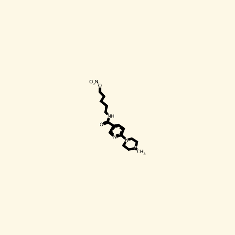 CN1CCN(c2ccc(C(=O)NCCCCCO[N+](=O)[O-])cn2)CC1